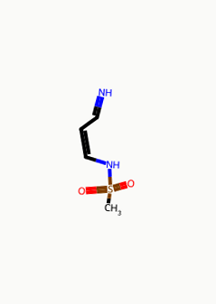 CS(=O)(=O)N/C=C\C=N